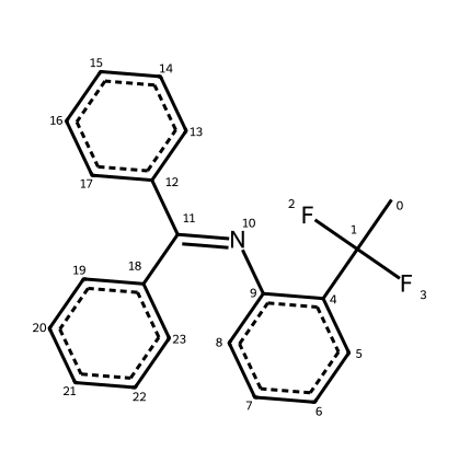 CC(F)(F)c1ccccc1N=C(c1ccccc1)c1ccccc1